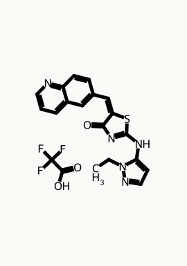 CCn1nccc1NC1=NC(=O)C(=Cc2ccc3ncccc3c2)S1.O=C(O)C(F)(F)F